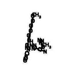 COCCOCCOCCOCCOCCOCCOc1nn([C@H]2CC[C@H](N3CCOCC3)CC2)cc1Nc1ncc(-c2ccc(C#N)c(O[C@@H](C)Cn3cncn3)c2)cn1